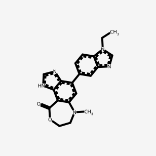 CCn1cnc2cc(-c3cc4c(c5[nH]cnc35)C(=O)OCCN4C)ccc21